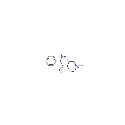 CN1CCC(C(=O)C(N)c2cc[c]cc2)CC1